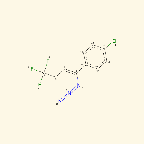 [N-]=[N+]=NC(=CCC(F)(F)F)c1ccc(Cl)cc1